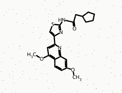 COc1ccc2c(OC)cc(-c3csc(NC(=O)CC4CCCC4)n3)nc2c1